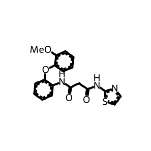 COc1ccccc1Oc1ccccc1NC(=O)CC(=O)Nc1nccs1